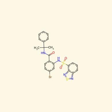 CC(C)(NC(=O)c1ccc(Br)cc1NS(=O)(=O)c1cccc2nsnc12)c1ccccc1